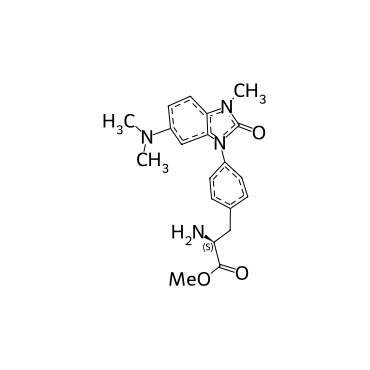 COC(=O)[C@@H](N)Cc1ccc(-n2c(=O)n(C)c3ccc(N(C)C)cc32)cc1